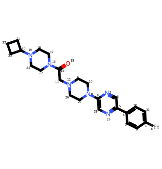 CCc1ccc(-c2cnc(N3CCN(CC(=O)N4CCN(C5CCC5)CC4)CC3)cn2)cc1